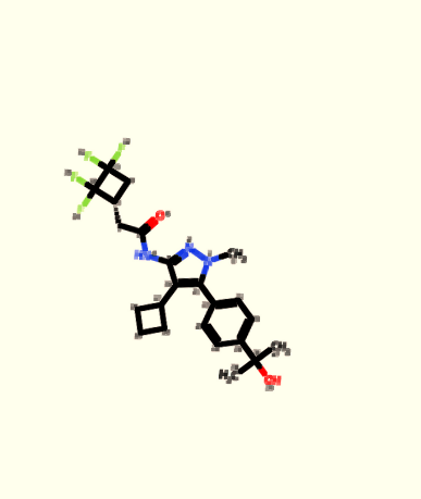 Cn1nc(NC(=O)C[C@H]2CC(F)(F)C2(F)F)c(C2CCC2)c1-c1ccc(C(C)(C)O)cc1